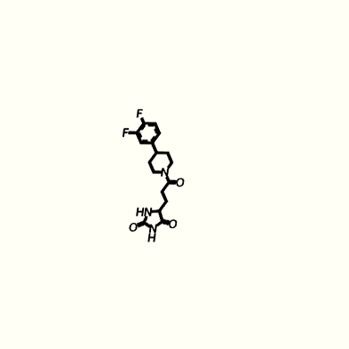 O=C1NC(=O)C(CCC(=O)N2CCC(c3ccc(F)c(F)c3)CC2)N1